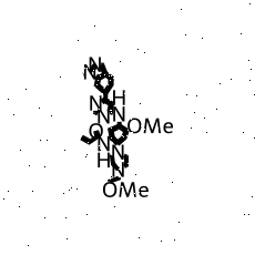 C=CC(=O)Nc1cc(Nc2cc(-c3ccc4cnn(C)c4c3)ncn2)c(OC)cc1N1CCN(CCOC)CC1